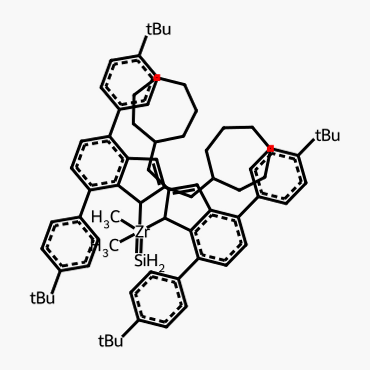 CC(C)(C)c1ccc(-c2ccc(-c3ccc(C(C)(C)C)cc3)c3c2C=C(CC2CCCCCC2)[CH]3[Zr]([CH3])([CH3])(=[SiH2])[CH]2C(CC3CCCCCC3)=Cc3c(-c4ccc(C(C)(C)C)cc4)ccc(-c4ccc(C(C)(C)C)cc4)c32)cc1